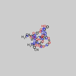 CC(C)[C@@H](C(=O)N1C[C@H](O)C[C@H]1C(=O)N[C@H](C)c1ccc(C#N)cc1)c1cc(OCCN2CCC(OC3CC(Oc4cc(N5CCN(c6cc(-c7ccccc7O)nnc6NC(=O)OCc6ccc(NC(=O)[C@H](CCCCN(C)C)NC(=O)C7(C(=O)NCCCCCN(C)CCN8C(=O)C=CC8=O)CCC7)cc6)CC56COC6)ccn4)C3)CC2)no1